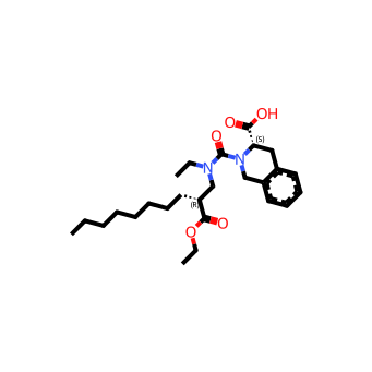 CCCCCCCC[C@H](CN(CC)C(=O)N1Cc2ccccc2C[C@H]1C(=O)O)C(=O)OCC